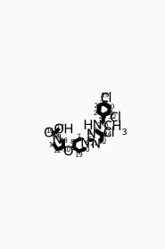 CC(Nc1nc(N2CCC(O[C@H]3CCN(C(=O)O)C3)CC2)ncc1Cl)c1ccc(Cl)cc1Cl